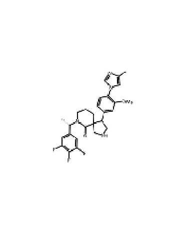 COc1cc(C2CNCC23CCCN([C@@H](C)c2cc(F)c(F)c(F)c2)C3=O)ccc1-n1cnc(C)c1